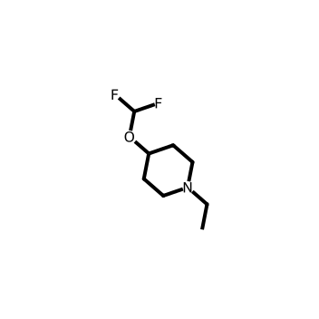 CCN1CCC(OC(F)F)CC1